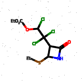 CCOC(=O)OC(Cl)C(Cl)(Cl)C1C(=O)NC1SCC